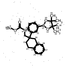 CC(C)(C)OC(=O)NCC1(c2cccc(B3OC(C)(C)C(C)(C)O3)c2)CCc2ccccc2C1